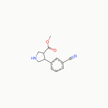 COC(=O)C1CNCC1c1cccc(C#N)c1